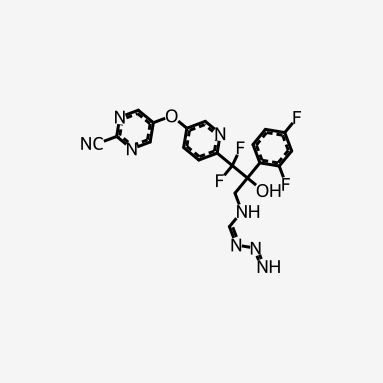 N#Cc1ncc(Oc2ccc(C(F)(F)C(O)(CN/C=N\N=N)c3ccc(F)cc3F)nc2)cn1